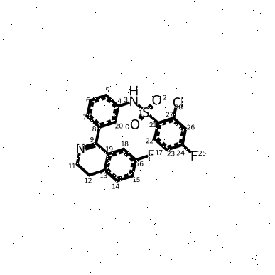 O=S(=O)(Nc1cccc(C2=NCCc3ccc(F)cc32)c1)c1ccc(F)cc1Cl